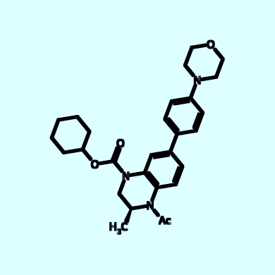 CC(=O)N1c2ccc(-c3ccc(N4CCOCC4)cc3)cc2N(C(=O)OC2CCCCC2)C[C@@H]1C